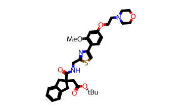 COc1cc(OCCN2CCOCC2)ccc1-c1csc(CNC(=O)C2(CC(=O)OC(C)(C)C)Cc3ccccc3C2)n1